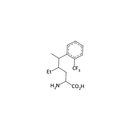 CCC(CC(N)C(=O)O)C(C)c1ccccc1C(F)(F)F